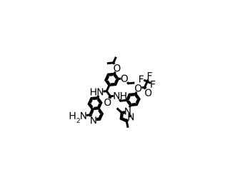 CCOc1cc(C(Nc2ccc3c(N)nccc3c2)C(=O)NCc2cc(OC(=O)C(F)(F)F)ccc2-n2nc(C)cc2C)ccc1OC(C)C